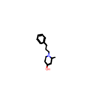 CC1CC(O)CCN1CCCc1ccccc1